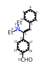 CCN(CC)C(=Cc1ccccc1)c1ccc(C=O)cc1